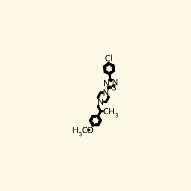 COc1ccc(C(C)CN2CCN(c3nc(-c4ccc(Cl)cc4)ns3)CC2)cc1